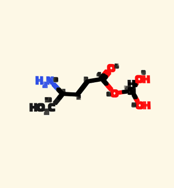 NC(CCC(=O)O[SiH](O)O)C(=O)O